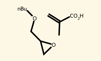 C=C(C)C(=O)O.CCCCOCC1CO1